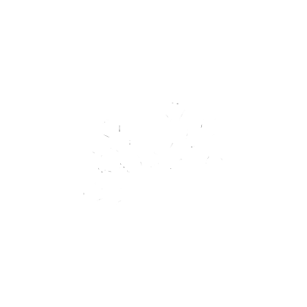 C=C(/N=C(\N=C(/C)c1ccc2c(c1)C(C)(C)c1cc3c(-c4ccccc4)c4ccccc4c(-c4ccccc4)c3cc1-2)c1cccc2ccccc12)c1cccc2ccccc12